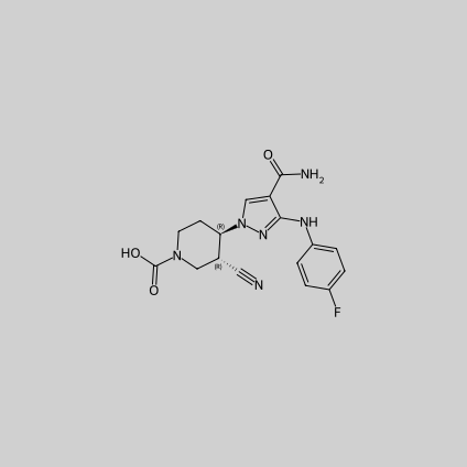 N#C[C@@H]1CN(C(=O)O)CC[C@H]1n1cc(C(N)=O)c(Nc2ccc(F)cc2)n1